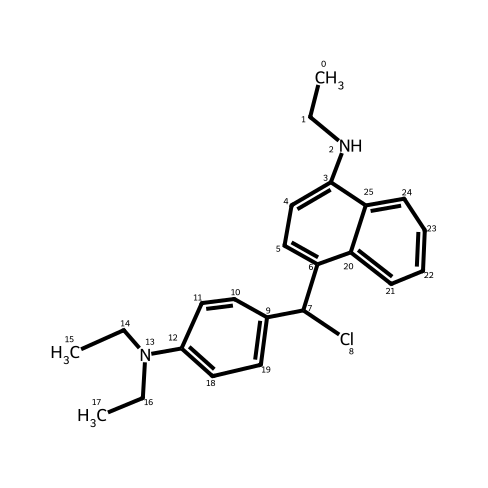 CCNc1ccc(C(Cl)c2ccc(N(CC)CC)cc2)c2ccccc12